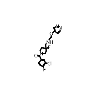 O=C(c1ccc(F)c(Cl)c1)N1CCC(F)(CNCCOc2ccnnc2)CC1